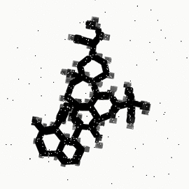 C#Cc1c(F)ccc2cccc(-c3nc4c5c(nc(S(=O)(=O)CC)nc5c3F)N3CCN(C(=O)OC(C)(C)C)C[C@H]3CC4)c12